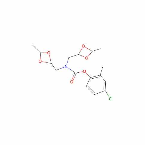 Cc1cc(Cl)ccc1OC(=O)N(CC1OC(C)O1)CC1OC(C)O1